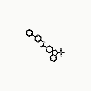 CS(=O)(=O)C1CC2(CCN(C(=O)Nc3cnc(-c4ccccc4)cn3)CC2)c2ccccc21